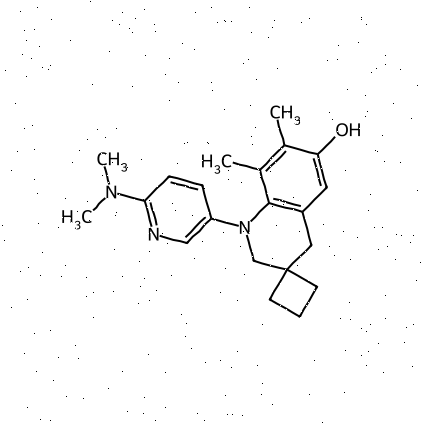 Cc1c(O)cc2c(c1C)N(c1ccc(N(C)C)nc1)CC1(CCC1)C2